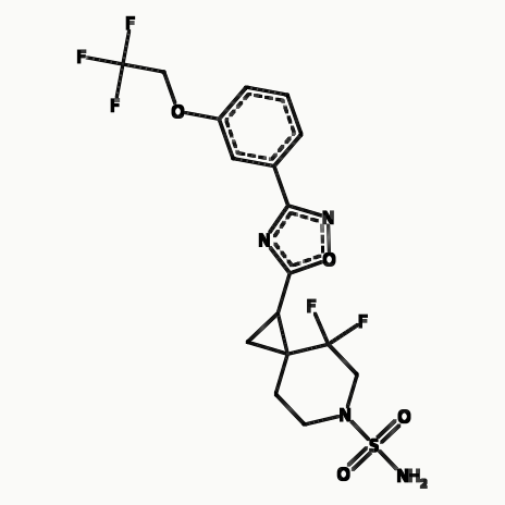 NS(=O)(=O)N1CCC2(CC2c2nc(-c3cccc(OCC(F)(F)F)c3)no2)C(F)(F)C1